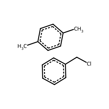 Cc1ccc(C)cc1.ClCc1ccccc1